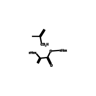 C=C(C)C(=O)O.C=C(CCCCCC)C(=O)OCCCCCC